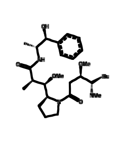 CC[C@H](C)[C@H](NC)[C@@H](CC(=O)N1CCC[C@H]1[C@H](OC)[C@@H](C)C(=O)N[C@H](C)[C@@H](O)c1ccccc1)OC